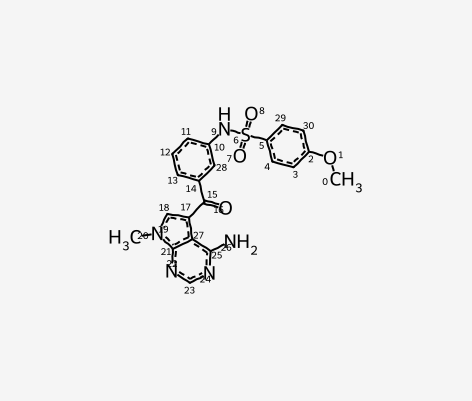 COc1ccc(S(=O)(=O)Nc2cccc(C(=O)c3cn(C)c4ncnc(N)c34)c2)cc1